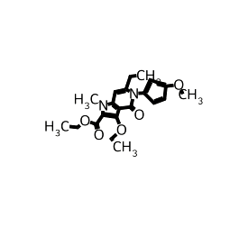 CCOC(=O)c1c(OCC)c2c(=O)n(-c3ccc(OC)cc3)c(CC)cc2n1C